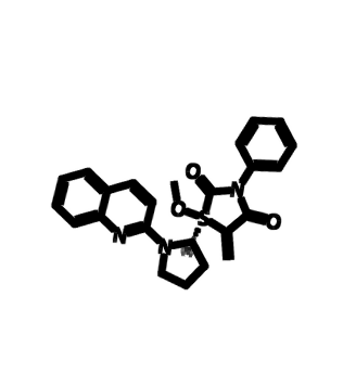 C=C1C(=O)N(c2ccccc2)C(=O)S1(OC)[C@@H]1CCCN1c1ccc2ccccc2n1